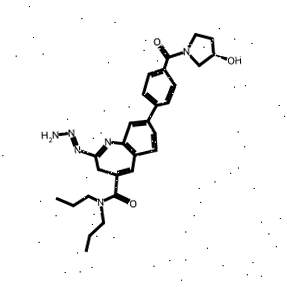 CCCN(CCC)C(=O)C1=Cc2ccc(-c3ccc(C(=O)N4CC[C@@H](O)C4)cc3)cc2N=C(N=NN)C1